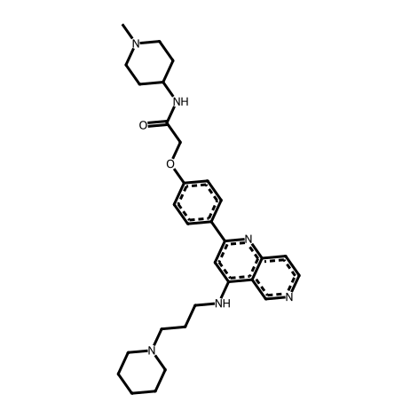 CN1CCC(NC(=O)COc2ccc(-c3cc(NCCCN4CCCCC4)c4cnccc4n3)cc2)CC1